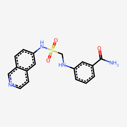 NC(=O)c1cccc(NCS(=O)(=O)Nc2ccc3cnccc3c2)c1